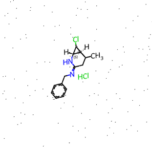 CC1CC(=NCc2ccccc2)N[C@@H]2C(Cl)[C@@H]12.Cl